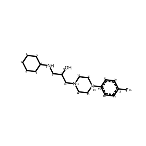 OC(CNC1CCCCC1)CN1CCN(c2ccc(F)cc2)CC1